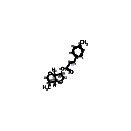 Cc1ccc(/C=C/C(=O)O[C@@H]2CO[C@H]3[C@@H]2OC[C@@H]3C)cc1